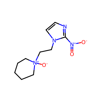 O=[N+]([O-])c1nccn1CC[N+]1([O-])CCCCC1